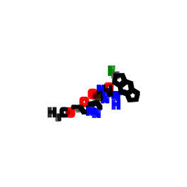 COC[C@@H]1Cn2ncc([S@@](N)(=O)=NC(=O)Nc3c4c(cc5c3C[C@H](F)C5)CCC4)c2O1